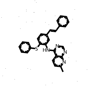 Cc1ccc2c(Nc3cc(C=Cc4ccccc4)ccc3Sc3ccccc3)ncnc2n1